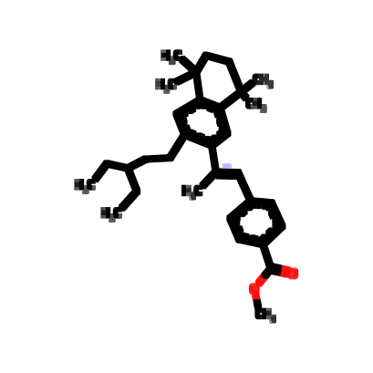 CCC(CC)CCc1cc2c(cc1/C(C)=C/c1ccc(C(=O)OC)cc1)C(C)(C)CCC2(C)C